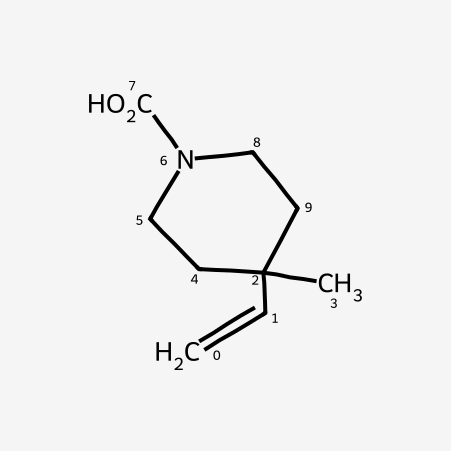 C=CC1(C)CCN(C(=O)O)CC1